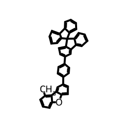 Cc1cccc2oc3ccc(-c4ccc(-c5ccc6c(c5)-c5ccccc5C65c6ccccc6-c6ccccc65)cc4)cc3c12